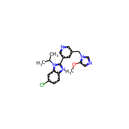 COc1cncn1Cc1cncc(-c2nc3ccc(Cl)cc3n2C(C)C)c1